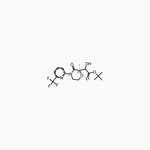 CC(C)(C)OC(=O)C(O)[C@@]1(C)OCCN(c2cccc(C(F)(F)F)n2)C1=O